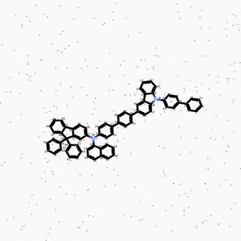 c1ccc(-c2ccc(-n3c4ccccc4c4cc(-c5ccc(-c6ccc(N(c7ccc8c(c7)C(c7ccccc7)(c7ccccc7)c7ccccc7-8)c7cccc8ccccc78)cc6)cc5)ccc43)cc2)cc1